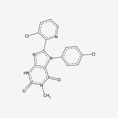 Cn1c(=O)[nH]c2nc(-c3ncccc3Cl)n(-c3ccc(Cl)cc3)c2c1=O